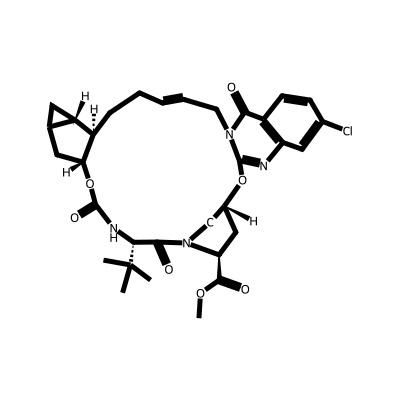 COC(=O)[C@@H]1C[C@@H]2CN1C(=O)[C@H](C(C)(C)C)NC(=O)O[C@@H]1CC3C[C@@H]3[C@H]1CC/C=C/Cn1c(nc3cc(Cl)ccc3c1=O)O2